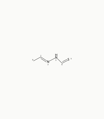 CC=NNC=S